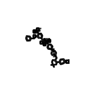 CC1(C)CCC(CN2CCN(c3ccc(S(=O)(=O)NC(=O)c4ccc([N+](=O)[O-])c(OCc5ccccc5)c4)cc3)CC2)=C(c2ccc(Cl)cc2)C1